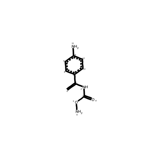 C=C(NC(=O)ON)c1ccc(N)cc1